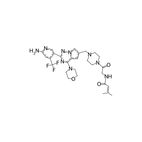 CC(C)=CC(=O)NCC(=O)N1CCN(Cc2cc3c(N4CCOCC4)nc(-c4cnc(N)cc4C(F)(F)F)nn3c2)CC1